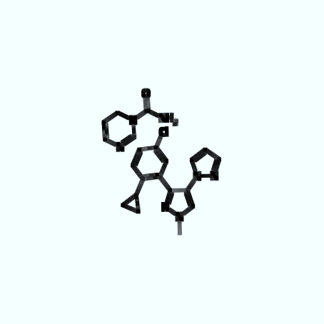 Cn1cc(-n2cccn2)c(-c2cc(Cl)ccc2C2CC2)n1.NC(=O)N1C=NC=CC1